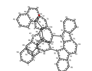 c1ccc(-c2nc(-c3ccccc3)nc(-n3c4ccccc4c4ccc5c6ccccc6n(-c6cc(-c7cccc8ccccc78)c7oc8ccccc8c7c6)c5c43)n2)cc1